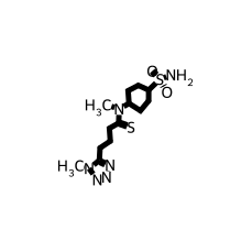 CN(C(=S)CCCc1nnnn1C)C1CCC(S(N)(=O)=O)CC1